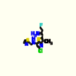 Cc1c(C[C@@H](N)CCF)sc2c(NCc3nccs3)cc(Cl)nc12